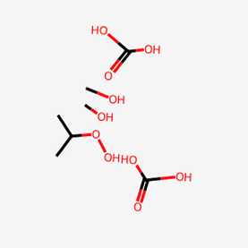 CC(C)OO.CO.CO.O=C(O)O.O=C(O)O